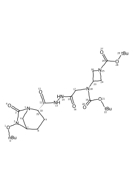 CCCCON1C(=O)N2CC1CC[C@H]2C(=O)NNC(=O)CN(C(=O)OC(C)(C)C)C1CN(C(=O)OC(C)(C)C)C1